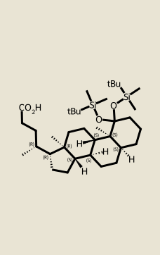 C[C@H](CCC(=O)O)[C@H]1CC[C@H]2[C@@H]3CC[C@@H]4CCCC(O[Si](C)(C)C(C)(C)C)(O[Si](C)(C)C(C)(C)C)[C@]4(C)[C@H]3CC[C@]12C